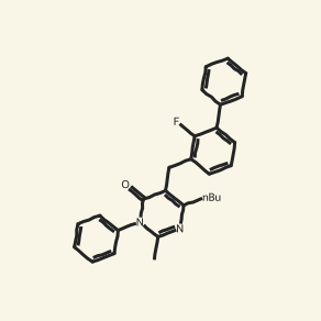 CCCCc1nc(C)n(-c2ccccc2)c(=O)c1Cc1cccc(-c2ccccc2)c1F